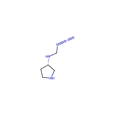 [N-]=[N+]=NCN[C@H]1CCNC1